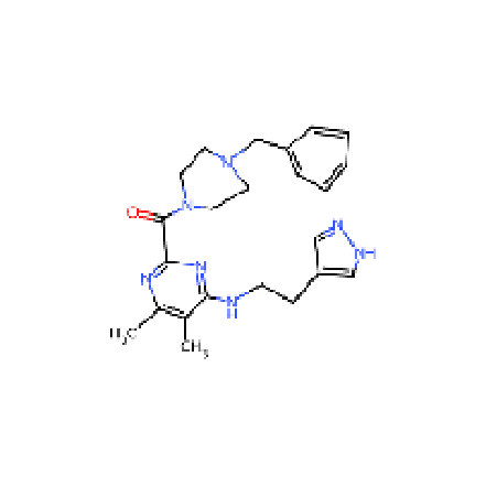 Cc1nc(C(=O)N2CCN(Cc3ccccc3)CC2)nc(NCCc2cn[nH]c2)c1C